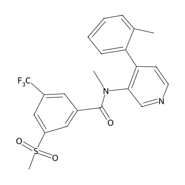 Cc1ccccc1-c1ccncc1N(C)C(=O)c1cc(C(F)(F)F)cc(S(C)(=O)=O)c1